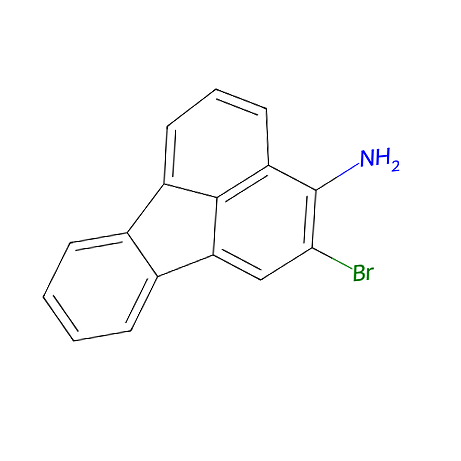 Nc1c(Br)cc2c3c(cccc13)-c1ccccc1-2